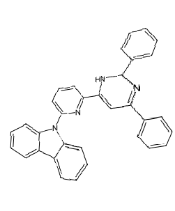 C1=C(c2cccc(-n3c4ccccc4c4ccccc43)n2)NC(c2ccccc2)N=C1c1ccccc1